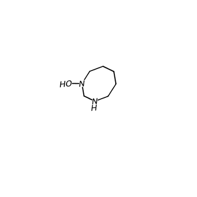 ON1CCCCCNC1